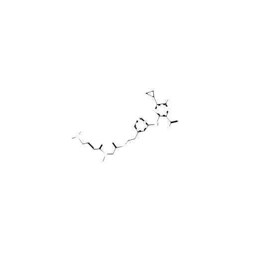 CCc1nc(C(N)=O)c(Nc2cncc(CCNC(=O)CN(C)C(=O)/C=C/CN(C)C)c2)nc1C1CC1